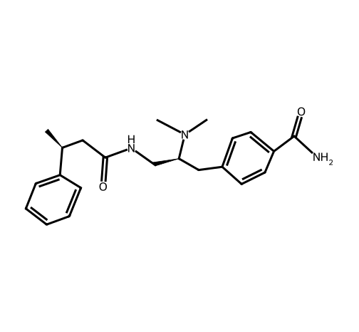 C[C@@H](CC(=O)NC[C@H](Cc1ccc(C(N)=O)cc1)N(C)C)c1ccccc1